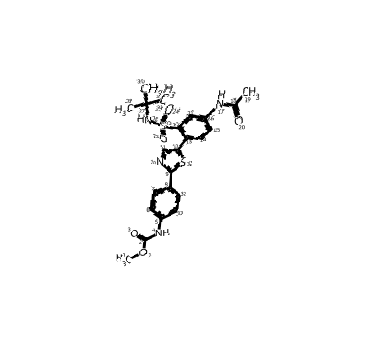 COC(=O)Nc1ccc(-c2ncc(-c3ccc(NC(C)=O)cc3S(=O)(=O)NC(C)(C)C)s2)cc1